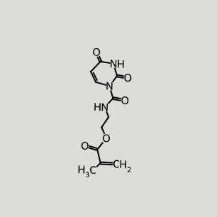 C=C(C)C(=O)OCCNC(=O)n1ccc(=O)[nH]c1=O